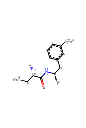 CC(=O)[C@H](Cc1cccc(C(=O)O)c1)NC(=O)[C@@H](N)CC(=O)O